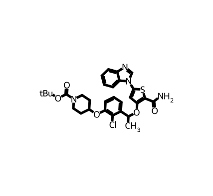 CC(Oc1cc(-n2cnc3ccccc32)sc1C(N)=O)c1cccc(OC2CCN(C(=O)OC(C)(C)C)CC2)c1Cl